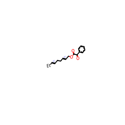 CC/C=C/CC/C=C/COC(=O)C(=O)c1ccccc1